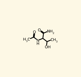 CC(=O)NC(C(N)=O)C(C)O